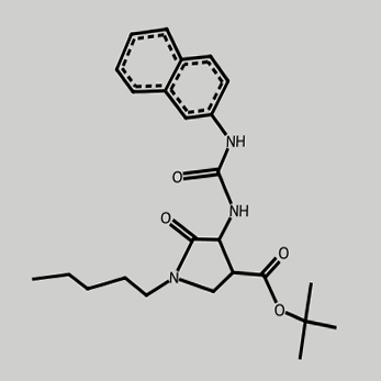 CCCCCN1CC(C(=O)OC(C)(C)C)C(NC(=O)Nc2ccc3ccccc3c2)C1=O